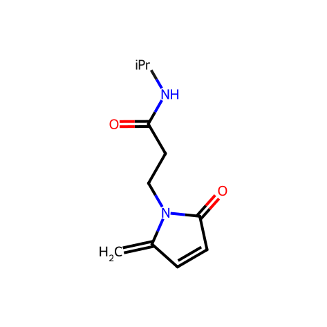 C=C1C=CC(=O)N1CCC(=O)NC(C)C